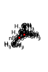 CCCCC(CCCOC(=O)CCC(=O)OCCCC(CCCC)(C(=O)OCCCOC1CC(C)(C)N(O)C(C)(C)C1)C(=O)OCCCOC1CC(C)(C)N(OC)C(C)(C)C1)(C(=O)OCCCOC1CC(C)(C)N(O)C(C)(C)C1)C(=O)OCCCOC1CC(C)(C)N(O)C(C)(C)C1